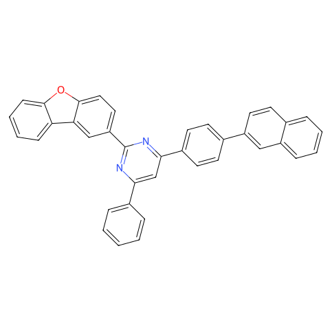 c1ccc(-c2cc(-c3ccc(-c4ccc5ccccc5c4)cc3)nc(-c3ccc4oc5ccccc5c4c3)n2)cc1